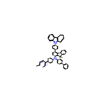 C/C=C(\C=C/CC)C1C=CC(N(c2ccc(-c3ccccc3)cc2)c2ccc(-c3ccc(-n4c5c(c6ccccc64)CCC=C5)cc3)c3c2C(C)(C)c2ccccc2-3)=CC1